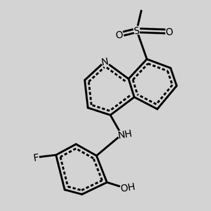 CS(=O)(=O)c1cccc2c(Nc3cc(F)ccc3O)ccnc12